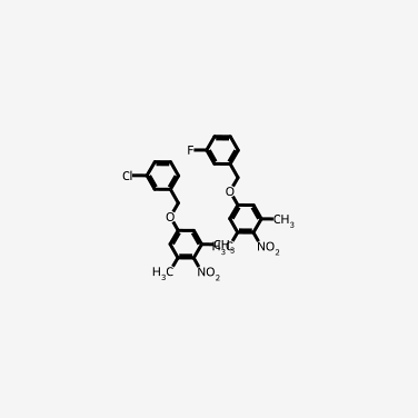 Cc1cc(OCc2cccc(Cl)c2)cc(C)c1[N+](=O)[O-].Cc1cc(OCc2cccc(F)c2)cc(C)c1[N+](=O)[O-]